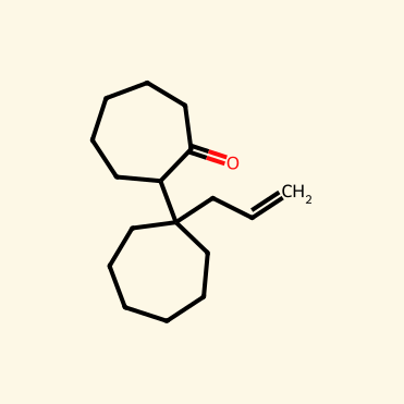 C=CCC1(C2CCCCCC2=O)CCCCCC1